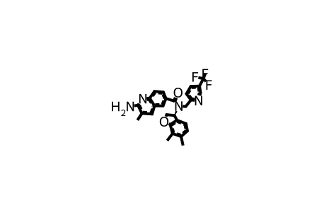 Cc1cc2cc(C(=O)N(Cc3ccc(C(F)(F)F)cn3)[C@@H]3COc4c3ccc(C)c4C)ccc2nc1N